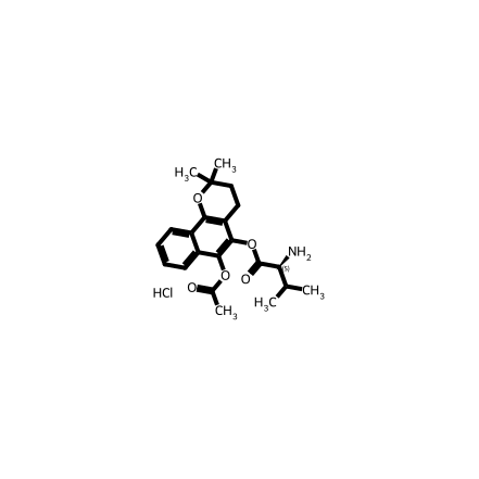 CC(=O)Oc1c(OC(=O)[C@@H](N)C(C)C)c2c(c3ccccc13)OC(C)(C)CC2.Cl